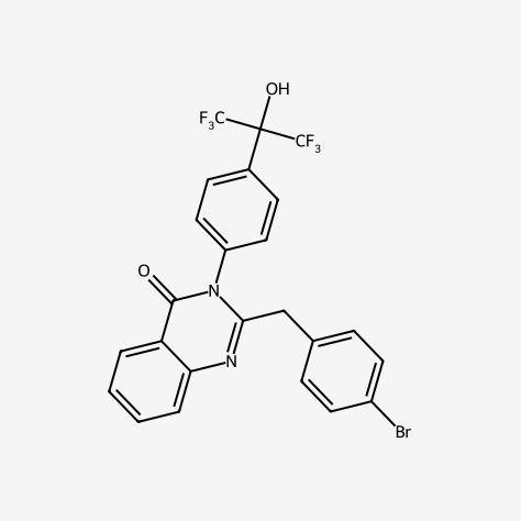 O=c1c2ccccc2nc(Cc2ccc(Br)cc2)n1-c1ccc(C(O)(C(F)(F)F)C(F)(F)F)cc1